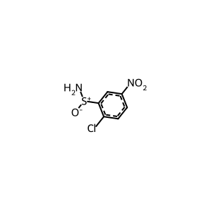 N[S+]([O-])c1cc([N+](=O)[O-])ccc1Cl